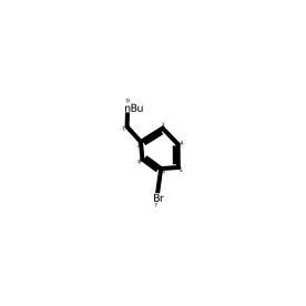 [CH2]CCCCc1cccc(Br)c1